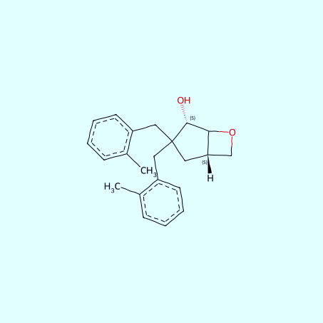 Cc1ccccc1CC1(Cc2ccccc2C)C[C@H]2COC2[C@H]1O